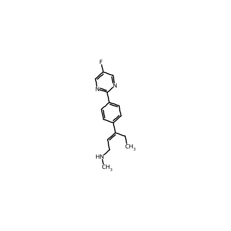 CC/C(=C\CNC)c1ccc(-c2ncc(F)cn2)cc1